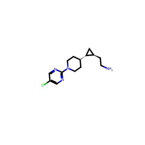 NCC[C@@H]1C[C@H]1C1CCN(c2ncc(Cl)cn2)CC1